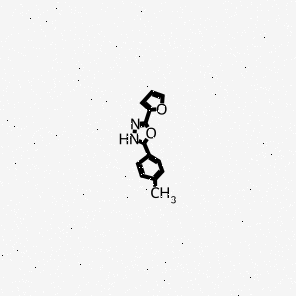 Cc1ccc(C2NN=C(c3ccco3)O2)cc1